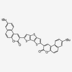 CC(C)(C)c1ccc2c(ccc3oc(=O)c(-c4cc5sc6cc(-c7cc8c(ccc9cc(C(C)(C)C)ccc98)oc7=O)sc6c5s4)cc32)c1